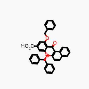 O=C(O)c1cc(OCc2ccccc2)c(C(=O)c2c(OCc3ccccc3)ccc3ccccc23)c(OCc2ccccc2)c1